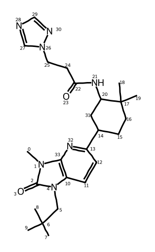 Cn1c(=O)n(CC(C)(C)C)c2ccc(C3CCC(C)(C)C(NC(=O)CCn4cncn4)C3)nc21